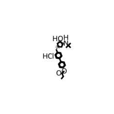 CCC(=O)Oc1ccc(-c2ccc(C[C@@H]3C[C@@H](O)[C@H](NC(C)(C)C)C3)cc2)cc1.Cl